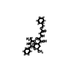 BC(=O)N[C@H](C(=O)NC(CCC)C(O)C(=O)NCC(=O)OCc1ccccc1)c1ccccc1